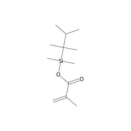 C=C(C)C(=O)O[Si](C)(C)C(C)(C)C(C)C